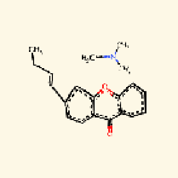 CCC=Cc1ccc2c(=O)c3ccccc3oc2c1.CN(C)C